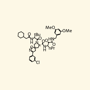 CCCC(NC(=O)[C@@H]1C[C@]2(CC(c3cccc(Cl)c3)=NO2)CN1C(=O)C(NC(=O)CC1CCCCC1)C(C)(C)C)C(=O)C(=O)NCc1cc(OC)cc(OC)c1